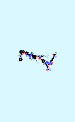 Cc1c(-c2ccc(N3CCc4cccc(C(=O)Nc5nc6ccccc6s5)c4C3)nc2C(=O)O)cnn1CC12CC(OCCN(CCS(=O)(=O)O)C(=O)OCc3ccc(NC(=O)[C@H](CCCNC(N)=O)NC(=O)[C@@H](NC(=O)CCCCCNC(=O)CCl)C(C)C)cc3)=C3C(C)CC(C)(C1)C3C2